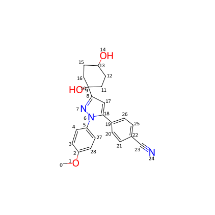 COc1ccc(-n2nc(C3(O)CCC(O)CC3)cc2-c2ccc(C#N)cc2)cc1